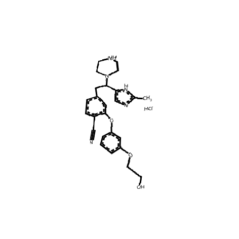 Cc1ncc(C(Cc2ccc(C#N)c(Oc3cccc(OCCO)c3)c2)N2CCNCC2)[nH]1.Cl